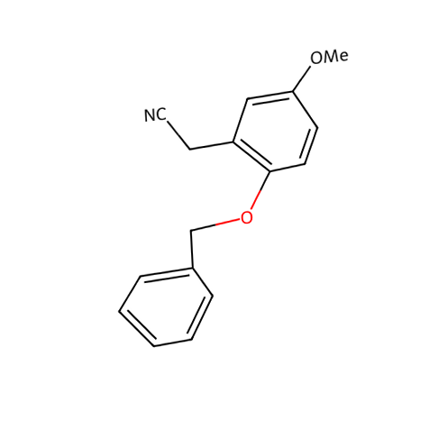 COc1ccc(OCc2ccccc2)c(CC#N)c1